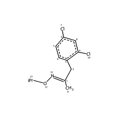 CC(Cc1ccc(Cl)cc1Cl)=NOC(C)C